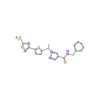 CC(c1ccc(-c2noc(C(F)(F)F)n2)s1)n1cc(C(=O)NCc2ccccc2)cn1